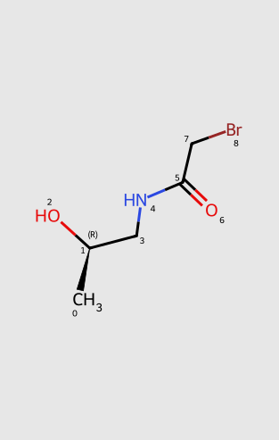 C[C@@H](O)CNC(=O)CBr